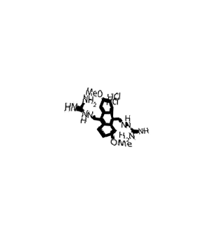 COc1ccc2c(C=NNC(=N)N)c3cc(OC)ccc3c(C=NNC(=N)N)c2c1.Cl.Cl